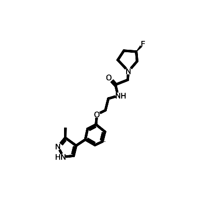 Cc1n[nH]cc1-c1c[c]cc(OCCNC(=O)CN2CC[C@@H](F)C2)c1